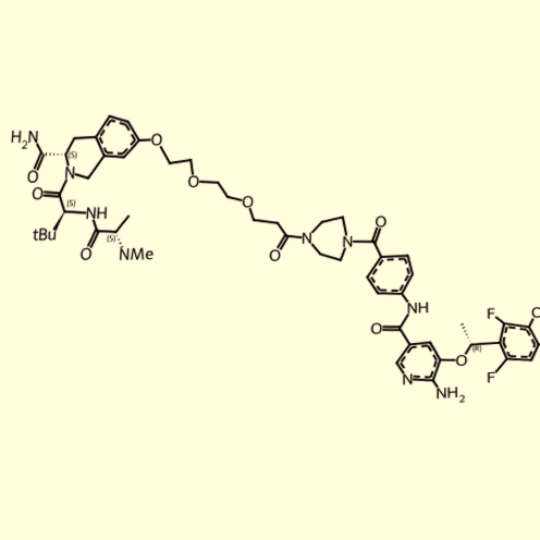 CN[C@@H](C)C(=O)N[C@H](C(=O)N1Cc2cc(OCCOCCOCCC(=O)N3CCN(C(=O)c4ccc(NC(=O)c5cnc(N)c(O[C@H](C)c6c(F)ccc(Cl)c6F)c5)cc4)CC3)ccc2C[C@H]1C(N)=O)C(C)(C)C